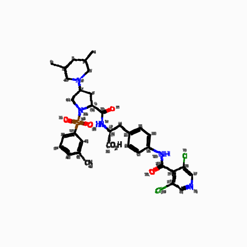 CC1CC(C)CN(C2C[C@@H](C(=O)N[C@@H](Cc3ccc(NC(=O)c4c(Cl)cncc4Cl)cc3)C(=O)O)N(S(=O)(=O)c3cccc(C#N)c3)C2)C1